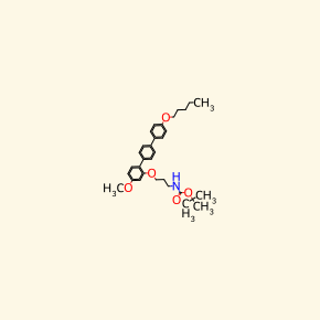 CCCCCOc1ccc(-c2ccc(-c3ccc(OC)cc3OCCCNC(=O)OC(C)(C)C)cc2)cc1